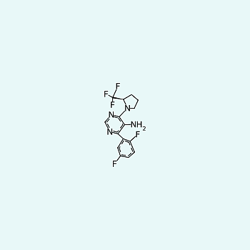 Nc1c(-c2cc(F)ccc2F)ncnc1N1CCC[C@@H]1C(F)(F)F